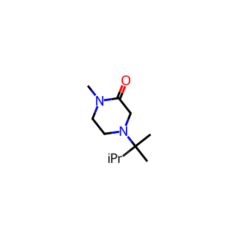 CC(C)C(C)(C)N1CCN(C)C(=O)C1